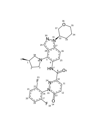 C[C@@H]1CCN(c2c(NC(=O)c3ccc(=O)n(-c4c(F)cccc4F)n3)ccc3c2cnn3[C@@H]2CCCOC2)C1